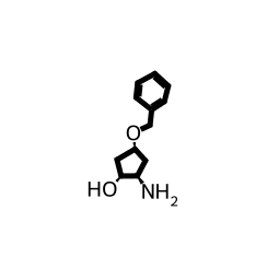 N[C@@H]1C[C@@H](OCc2ccccc2)C[C@H]1O